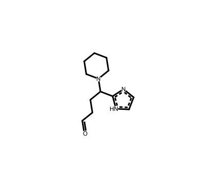 O=CCCC(c1ncc[nH]1)N1CCCCC1